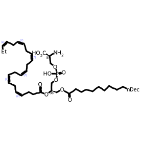 CC/C=C\C/C=C\C/C=C\C/C=C\C/C=C\C/C=C\CCC(=O)O[C@H](COC(=O)CCCCCCCCCCCCCCCCCCC)COP(=O)(O)OC[C@H](N)C(=O)O